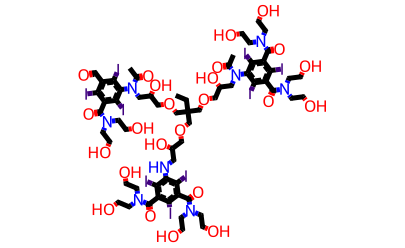 CCC(COCC(O)CNc1c(I)c(C(=O)N(CCO)CCO)c(I)c(C(=O)N(CCO)CCO)c1I)(COCC(O)CN(C(C)=O)c1c(I)c(C=O)c(I)c(C(=O)N(CCO)CCO)c1I)COCC(O)CN(C(C)=O)c1c(I)c(C(=O)N(CCO)CCO)c(I)c(C(=O)N(CCO)CCO)c1I